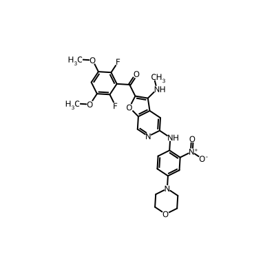 CNc1c(C(=O)c2c(F)c(OC)cc(OC)c2F)oc2cnc(Nc3ccc(N4CCOCC4)cc3[N+](=O)[O-])cc12